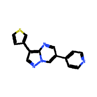 c1cc(-c2cnc3c(-c4ccsc4)cnn3c2)ccn1